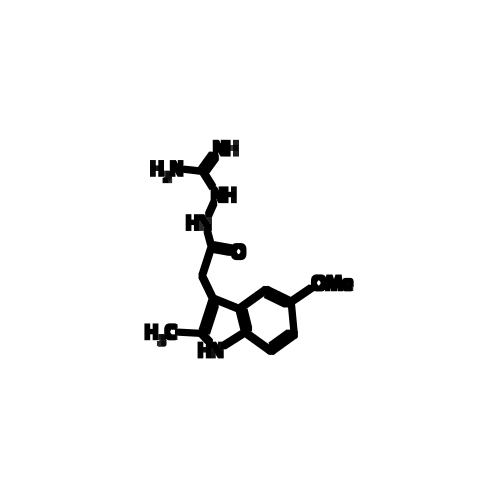 COc1ccc2[nH]c(C)c(CC(=O)NNC(=N)N)c2c1